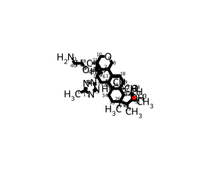 Cc1nnn([C@@H]2C[C@@]34COC[C@](C)([C@@H]3CC[C@H]3C4=CC[C@@]4(C)[C@H](C(=O)O)[C@@](C)([C@H](C)C(C)C)CC[C@]34C)[C@H]2OCCN)n1